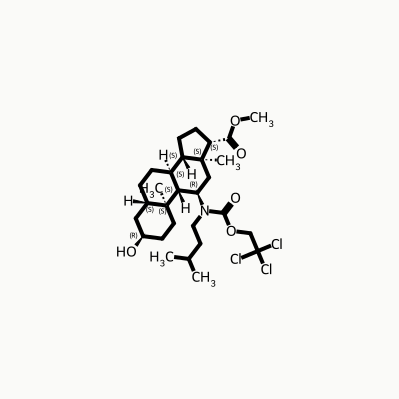 COC(=O)[C@H]1CC[C@H]2[C@@H]3CC[C@H]4C[C@H](O)CC[C@]4(C)[C@H]3[C@H](N(CCC(C)C)C(=O)OCC(Cl)(Cl)Cl)C[C@]12C